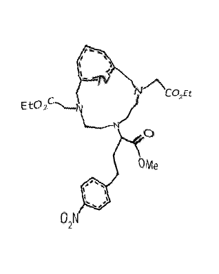 CCOC(=O)CN1CCN(C(CCc2ccc([N+](=O)[O-])cc2)C(=O)OC)CCN(CC(=O)OCC)Cc2cccc(n2)C1